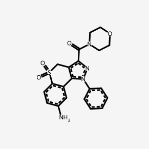 Nc1ccc2c(c1)-c1c(c(C(=O)N3CCOCC3)nn1-c1ccccc1)CS2(=O)=O